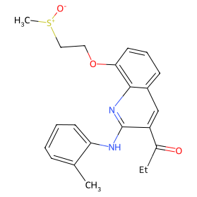 CCC(=O)c1cc2cccc(OCC[S+](C)[O-])c2nc1Nc1ccccc1C